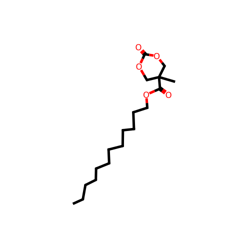 CCCCCCCCCCCCOC(=O)C1(C)COC(=O)OC1